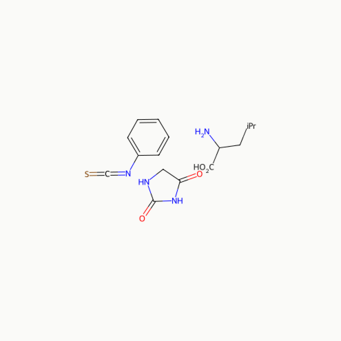 CC(C)CC(N)C(=O)O.O=C1CNC(=O)N1.S=C=Nc1ccccc1